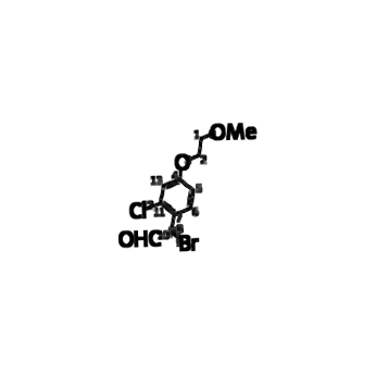 COCCOc1ccc([C@H](Br)C=O)c(Cl)c1